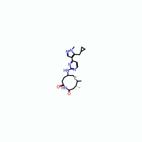 CC1CCC(Nc2nccc(-c3cnn(C)c3CC3CC3)n2)CCC(=O)NC(=O)C[C@H]1C